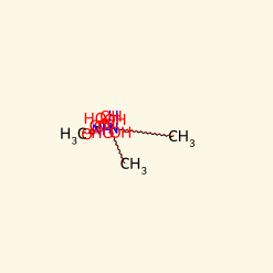 CCCCCCCCCCCCCCCCCCCCCCCCCCN[C@@H](CO[C@@H]1O[C@H](COC(=O)Nc2ccc(OCC)cc2)[C@H](O)[C@H](O)[C@H]1O)[C@H](O)[C@H](O)CCCCCCCCCCCCCC